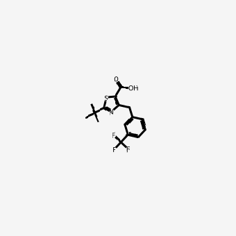 CC(C)(C)c1nc(Cc2cccc(C(F)(F)F)c2)c(C(=O)O)s1